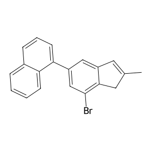 CC1=Cc2cc(-c3cccc4ccccc34)cc(Br)c2C1